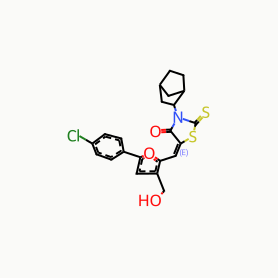 O=C1/C(=C\c2oc(-c3ccc(Cl)cc3)cc2CO)SC(=S)N1C1CC2CCC1C2